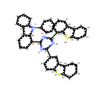 c1ccc(-n2c3ccccc3c3cccc(-c4nc(-c5ccc6sc7ccccc7c6c5)nc(-c5cccc6c5sc5ccccc56)n4)c32)cc1